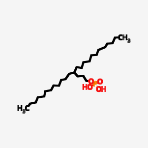 CCCCCCCCCCCCC(CCCCCCCCCCCC)CCCOP(=O)(O)O